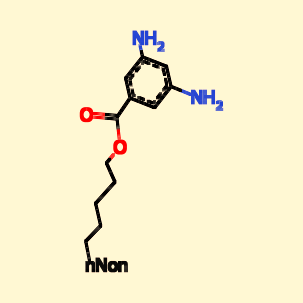 CCCCCCCCCCCCCCOC(=O)c1cc(N)cc(N)c1